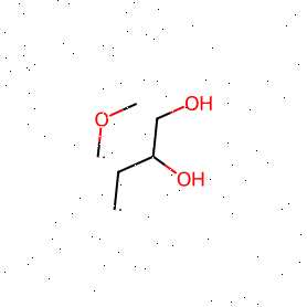 [CH2]CC(O)CO.[CH2]OC